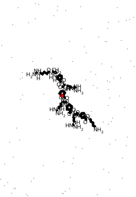 C[C@@H](NC(=O)CCCCNC(=N)N)C(=O)Nc1ccc2on([C@H](CCCNC(=N)N)C(=O)Nc3ccc4on([C@H](CCCNC(=N)N)C(=O)Nc5ccc6on([C@H](CCCNC(=N)N)C(=O)Nc7ccc8on(CCCCCN)c(=O)c8c7)c(=O)c6c5)c(=O)c4c3)c(=O)c2c1